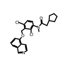 CN(C(=O)CC1CCCC1)c1ccc(Cl)c(COc2cccc3cnccc23)c1Cl